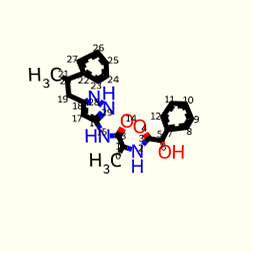 CC(NC(=O)C(O)c1ccccc1)C(=O)Nc1cc(CC(C)c2ccccc2)n[nH]1